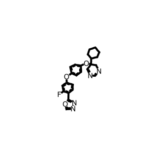 Fc1cc(Oc2ccc(OC3(C4CCCCC4)C=NC=NC3)cc2)ccc1-c1nnco1